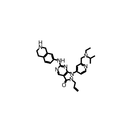 C=CCn1c(=O)c2cnc(Nc3ccc4c(c3)CNCC4)nc2n1-c1ccnc(CN(CC)C(C)C)c1